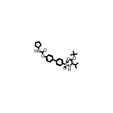 CC(C)C(NS(=O)(=O)c1ccc(-c2ccc(OC(=O)NC3CCCC3)cc2)cc1)C(=O)OC(C)(C)C